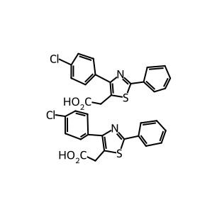 O=C(O)Cc1sc(-c2ccccc2)nc1-c1ccc(Cl)cc1.O=C(O)Cc1sc(-c2ccccc2)nc1-c1ccc(Cl)cc1